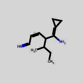 CCC(C)C(/C=C\C=N)C(N)=C1CC1